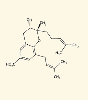 CC(C)=CCC[C@]1(C)Oc2c(CC=C(C)C)cc(C(=O)O)cc2C[C@@H]1O